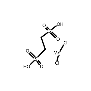 O=S(=O)(O)CCS(=O)(=O)O.[Cl][Mg][Cl]